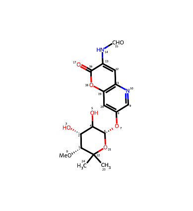 CO[C@@H]1[C@H](O)C(O)[C@H](Oc2cnc3cc(NC=O)c(=O)oc3c2)OC1(C)C